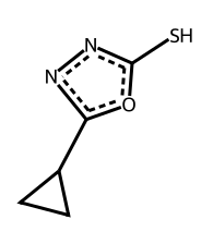 Sc1nnc(C2CC2)o1